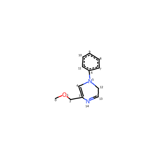 COCC1=CN(c2ccccc2)CC=N1